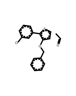 CC=O.Clc1cccc(-c2sccc2OCc2ccccc2)c1